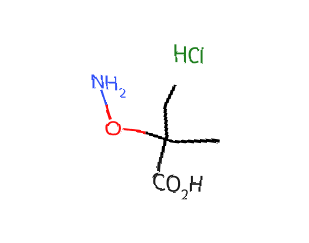 CC(C)(ON)C(=O)O.Cl